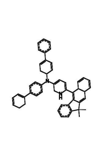 CC1(C)C2=CC3C=CC=CC3C(C3=CC=C(N(c4ccc(C5=CC=CCC5)cc4)C4C=CC(c5ccccc5)=CC4)CN3)=C2c2ccccc21